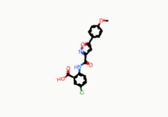 COc1ccc(-c2cc(C(=O)Nc3ccc(Cl)cc3C(=O)O)no2)cc1